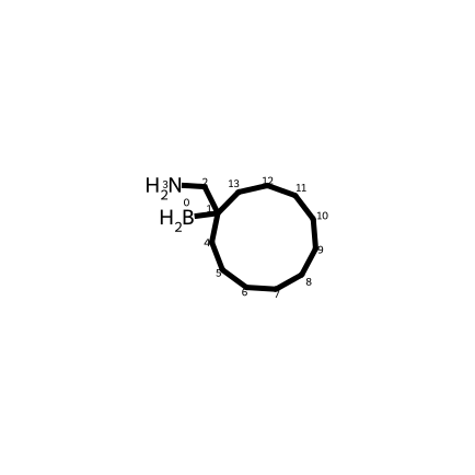 BC1(CN)CCCCCCCCCC1